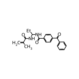 C=C(C)C(=O)NC(CC)NC(=O)c1ccc(C(=O)c2ccccc2)cc1